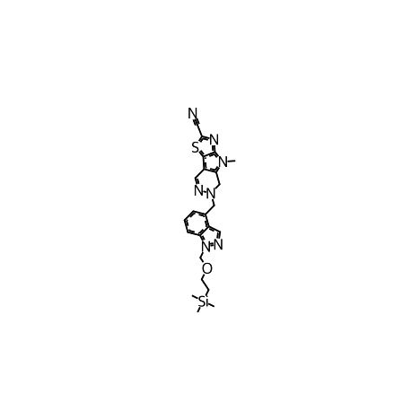 Cn1c2c(c3sc(C#N)nc31)C=NN(Cc1cccc3c1cnn3COCC[Si](C)(C)C)C2